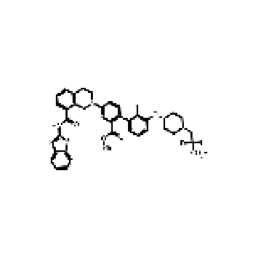 Cc1c(O[C@H]2CC[C@H](CC(F)(F)C(=O)O)CC2)cccc1-c1ccc(N2CCc3cccc(C(=O)Nc4nc5ccccc5s4)c3C2)nc1C(=O)OC(C)(C)C